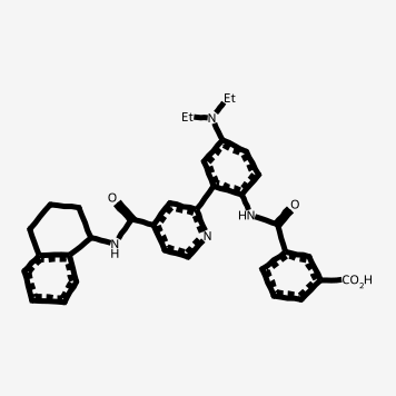 CCN(CC)c1ccc(NC(=O)c2cccc(C(=O)O)c2)c(-c2cc(C(=O)NC3CCCc4ccccc43)ccn2)c1